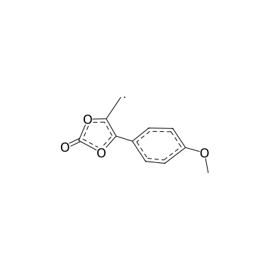 [CH2]c1oc(=O)oc1-c1ccc(OC)cc1